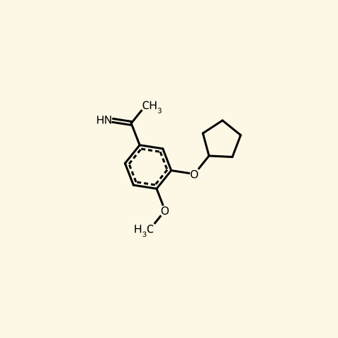 COc1ccc(C(C)=N)cc1OC1CCCC1